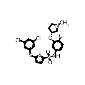 CN1CC[C@@H](Oc2cc(NS(=O)(=O)c3ccc(Sc4cc(Cl)cc(Cl)c4)s3)ccc2Cl)C1